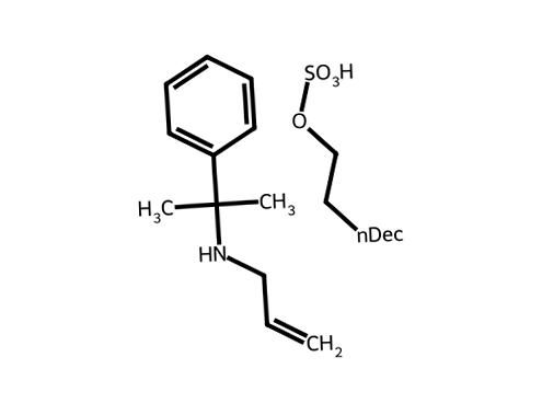 C=CCNC(C)(C)c1ccccc1.CCCCCCCCCCCCOS(=O)(=O)O